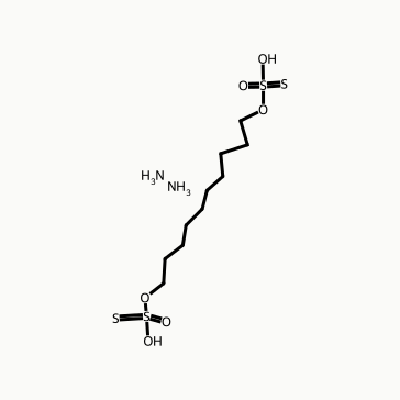 N.N.O=S(O)(=S)OCCCCCCCCCCOS(=O)(O)=S